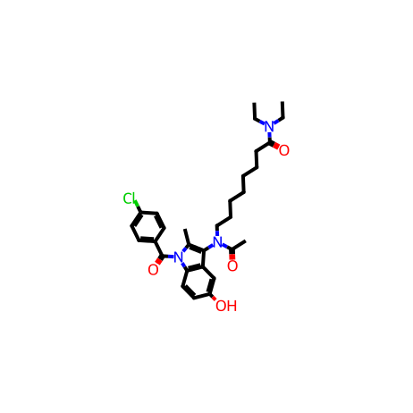 CCN(CC)C(=O)CCCCCCCN(C(C)=O)c1c(C)n(C(=O)c2ccc(Cl)cc2)c2ccc(O)cc12